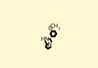 COc1cccc([C@@H]2Cn3cccc3CN2)c1